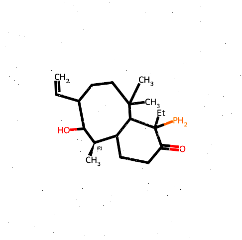 C=CC1CCC(C)(C)C2C(CCC(=O)C2(P)CC)[C@@H](C)C1O